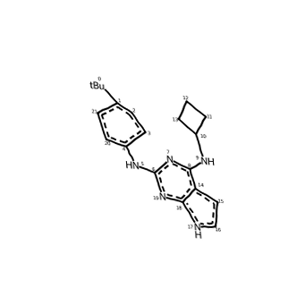 CC(C)(C)c1ccc(Nc2nc(NC3CCC3)c3cc[nH]c3n2)cc1